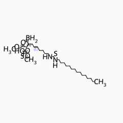 B[C@@H]1O[C@H](COC)C(OP(O)(=S)OC)[C@@H]1C/C=C/CCCCNC(=S)NCCCCCCCCCCCCCCC